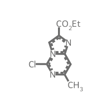 CCOC(=O)c1cn2c(Cl)nc(C)cc2n1